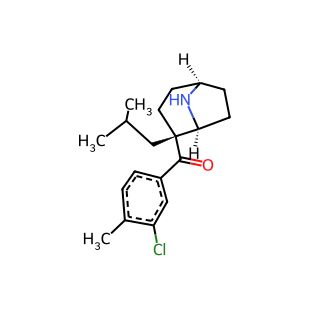 Cc1ccc(C(=O)[C@]2(CC(C)C)CC[C@H]3CC[C@@H]2N3)cc1Cl